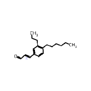 CCCCCCc1ccc(/C=C/C=O)cc1CCC